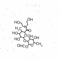 CC1OC(OC=O)C(OC2OC(C(=O)N(CCO)CCO)C(C)C(O)C2O)C(O)C1O